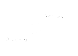 O=C=NC1CC(N=C=O)C1